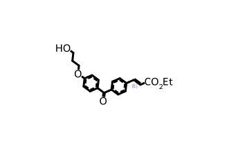 CCOC(=O)/C=C/c1ccc(C(=O)c2ccc(OCCCO)cc2)cc1